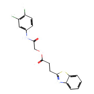 O=C(COC(=O)CCc1nc2ccccc2s1)Nc1ccc(Cl)c(Cl)c1